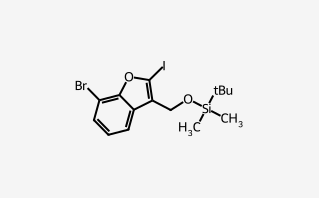 CC(C)(C)[Si](C)(C)OCc1c(I)oc2c(Br)cccc12